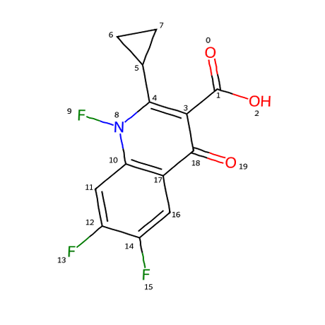 O=C(O)c1c(C2CC2)n(F)c2cc(F)c(F)cc2c1=O